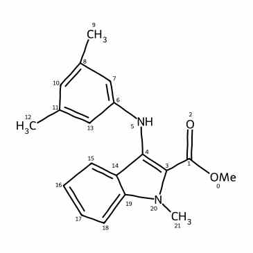 COC(=O)c1c(Nc2cc(C)cc(C)c2)c2ccccc2n1C